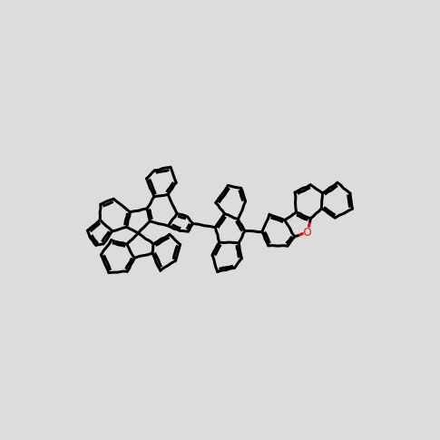 c1ccc2c(c1)-c1ccccc1C21c2c(ccc3ccccc23)-c2c1c1ccc(-c3c4ccccc4c(-c4ccc5oc6c7ccccc7ccc6c5c4)c4ccccc34)cc1c1ccccc21